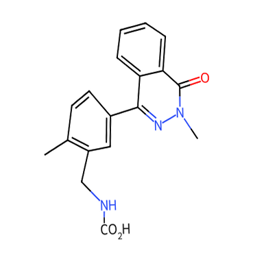 Cc1ccc(-c2nn(C)c(=O)c3ccccc23)cc1CNC(=O)O